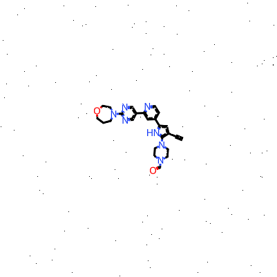 C#Cc1cc(-c2ccnc(-c3cnc(N4CCCOCC4)nc3)c2)[nH]c1N1CCN(C=O)CC1